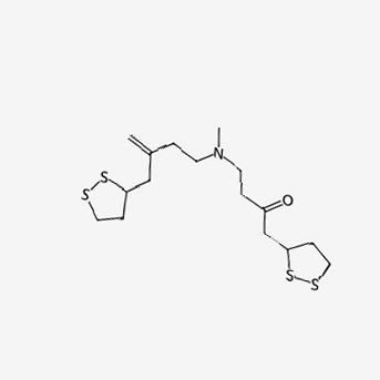 C=C(CCN(C)CCC(=O)CC1CCSS1)CC1CCSS1